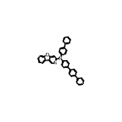 c1ccc(-c2ccc(-c3ccc(N(c4ccc(-c5ccccc5)cc4)c4cc5oc6ccccc6c5cn4)cc3)cc2)cc1